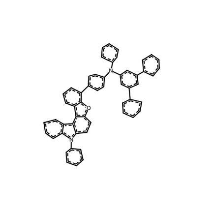 c1ccc(-c2cc(-c3ccccc3)cc(N(c3ccccc3)c3ccc(-c4cccc5c4oc4ccc6c(c7ccccc7n6-c6ccccc6)c45)cc3)c2)cc1